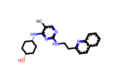 N#Cc1cnc(NCCc2ccc3ccccc3n2)nc1N[C@H]1CC[C@@H](O)CC1